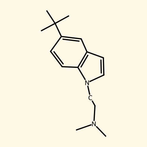 CN(C)CCn1ccc2cc(C(C)(C)C)ccc21